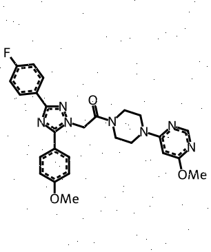 COc1ccc(-c2nc(-c3ccc(F)cc3)nn2CC(=O)N2CCN(c3cc(OC)ncn3)CC2)cc1